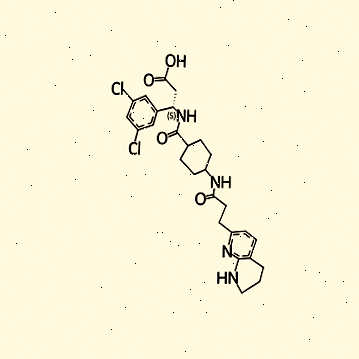 O=C(O)C[C@H](NC(=O)C1CCC(NC(=O)CCc2ccc3c(n2)NCCC3)CC1)c1cc(Cl)cc(Cl)c1